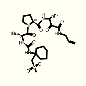 C=CCNC(=O)C(=O)C(CCC)NC(=O)[C@@H]1CCCN1C(=O)[C@@H](NC(=O)NC1(CS(C)(=O)=O)CCCCC1)C(C)(C)C